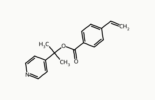 C=Cc1ccc(C(=O)OC(C)(C)c2ccncc2)cc1